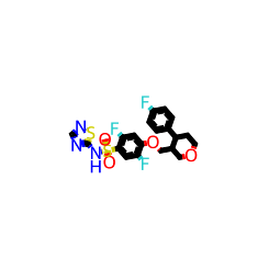 O=S(=O)(Nc1ncns1)c1cc(F)c(OCC2COCCC2c2ccc(F)cc2)cc1F